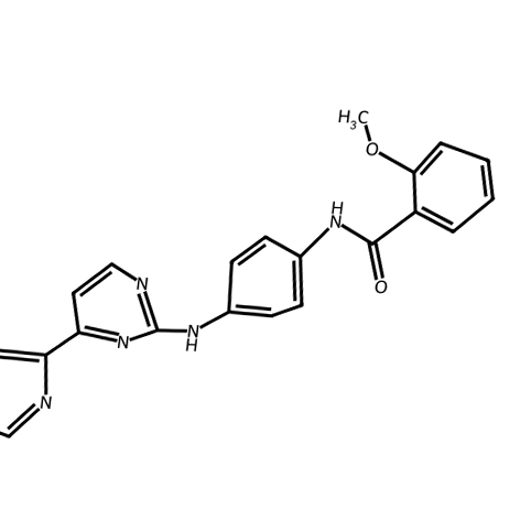 COc1ccccc1C(=O)Nc1ccc(Nc2nccc(-c3ccccn3)n2)cc1